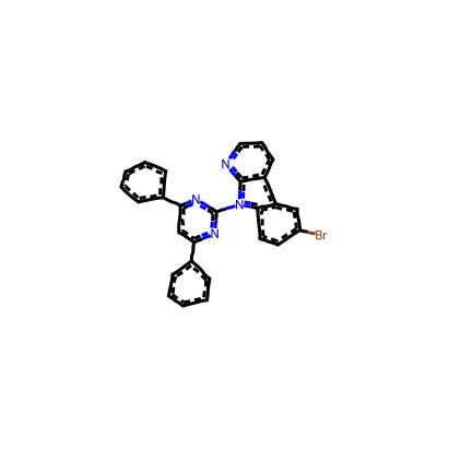 Brc1ccc2c(c1)c1cccnc1n2-c1nc(-c2ccccc2)cc(-c2ccccc2)n1